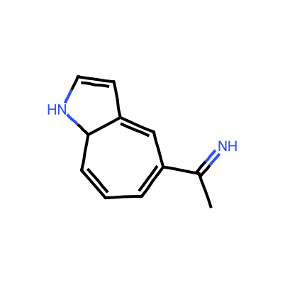 CC(=N)C1=CC=CC2NC=CC2=C1